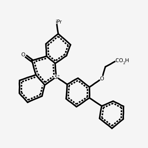 CC(C)c1ccc2c(c1)c(=O)c1ccccc1[s+]2-c1ccc(-c2ccccc2)c(OCC(=O)O)c1